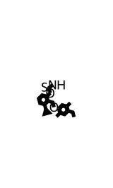 CCc1cc(C)c(OCc2c(OC(=S)NC)cccc2C2CC2)cc1C